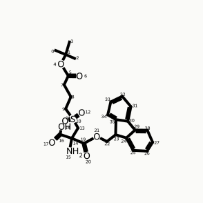 CC(C)(C)OC(=O)CCCS(=O)(=O)CC(N)(C(=O)O)C(=O)OCC1c2ccccc2-c2ccccc21